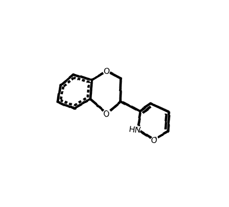 C1=CONC(C2COc3ccccc3O2)=C1